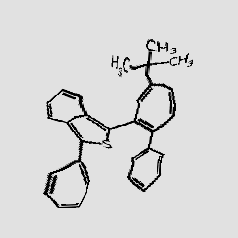 CC(C)(C)c1ccc(-c2ccccc2)c(-c2sc(-c3ccccc3)c3ccccc23)c1